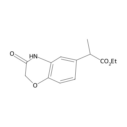 CCOC(=O)C(C)c1ccc2c(c1)NC(=O)CO2